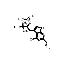 CSc1nc(Cl)c2c(CC(O[SiH](C)C)C(C)(C)C)c[nH]c2n1